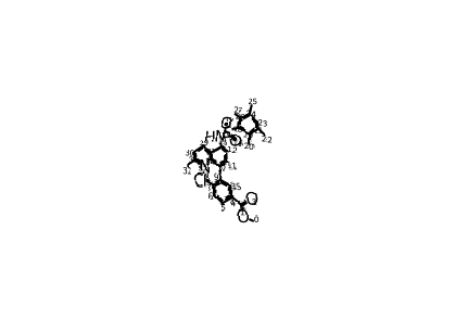 COC(=O)c1ccc(Cl)c(-c2ccc(NS(=O)(=O)c3c(C)c(C)cc(C)c3C)c3ccc(C)nc23)c1